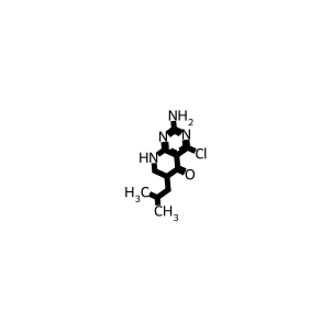 CC(C)CC1CNc2nc(N)nc(Cl)c2C1=O